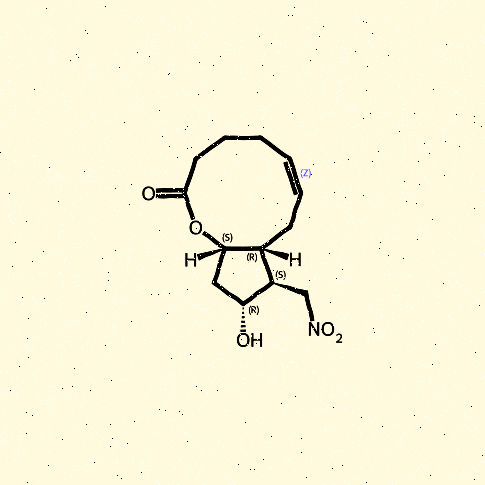 O=C1CCC/C=C\C[C@@H]2[C@@H](C[N+](=O)[O-])[C@H](O)C[C@@H]2O1